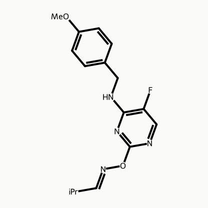 COc1ccc(CNc2nc(ON=CC(C)C)ncc2F)cc1